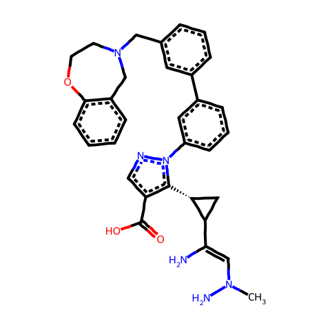 CN(N)/C=C(\N)C1C[C@H]1c1c(C(=O)O)cnn1-c1cccc(-c2cccc(CN3CCOc4ccccc4C3)c2)c1